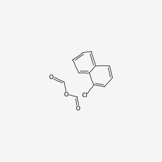 Clc1cccc2ccccc12.O=COC=O